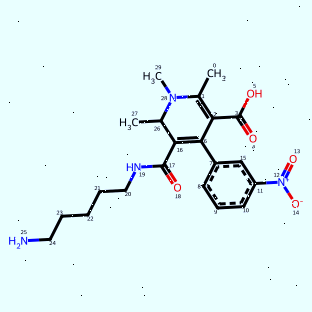 CC1=C(C(=O)O)C(c2cccc([N+](=O)[O-])c2)=C(C(=O)NCCCCCN)C(C)N1C